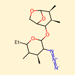 CCC1OC(OC2C3COC(O3)[C@@H](C)[C@H]2C)C(N=[N+]=[N-])[C@@H](C)C1C